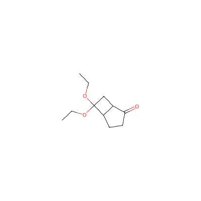 CCOC1(OCC)CC2C(=O)CCC21